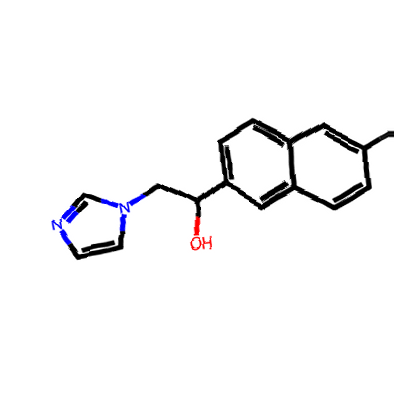 CC(C)c1ccc2cc(C(O)Cn3ccnc3)ccc2c1